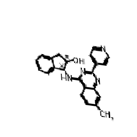 Cc1ccc2c(N[C@H]3c4ccccc4C[C@H]3O)nc(-c3ccncc3)nc2c1